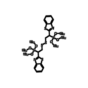 CC(C)(C)O[Si](OC(C)(C)C)(OC(C)(C)C)C(CSSCC(c1nc2ccccc2s1)[Si](OC(C)(C)C)(OC(C)(C)C)OC(C)(C)C)c1nc2ccccc2s1